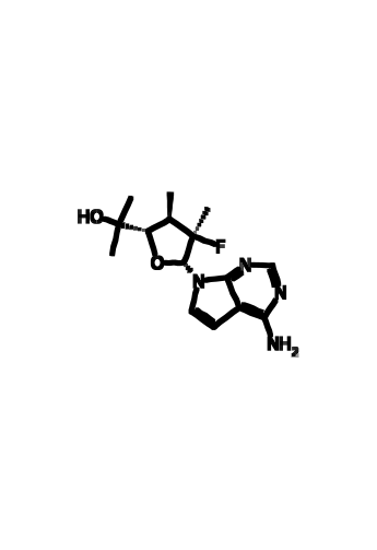 C[C@@H]1[C@@H](C(C)(C)O)O[C@@H](n2ccc3c(N)ncnc32)[C@]1(C)F